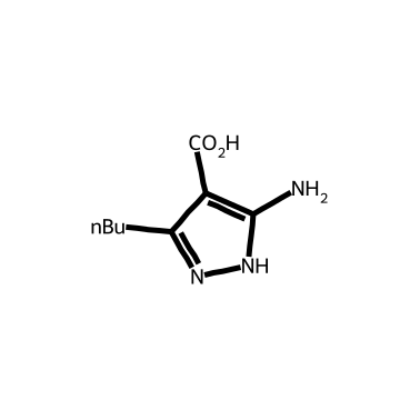 CCCCc1n[nH]c(N)c1C(=O)O